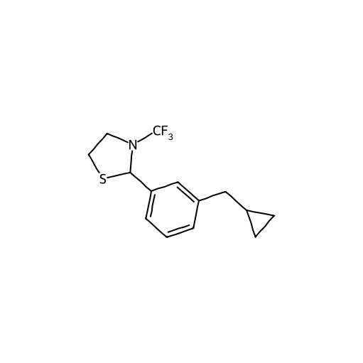 FC(F)(F)N1CCSC1c1cccc(CC2CC2)c1